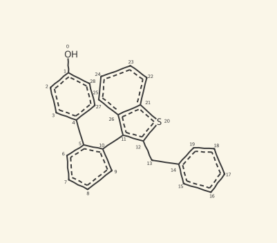 Oc1ccc(-c2ccccc2-c2c(Cc3ccccc3)sc3ccccc23)cc1